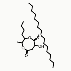 CCCCC1OC(=S)C(O)CC(=O)OC1C.CCCCCCC[CH2][Sn][CH2]CCCCCCC